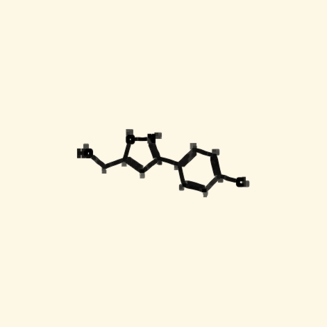 OCc1cc(-c2ccc(Cl)cc2)no1